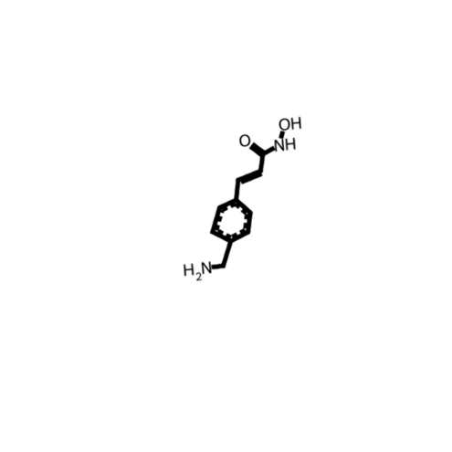 NCc1ccc(/C=C/C(=O)NO)cc1